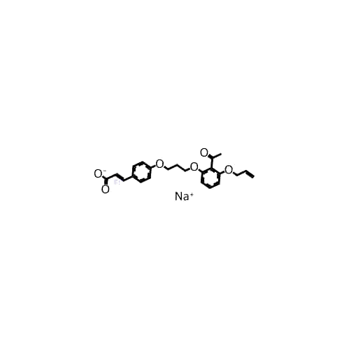 C=CCOc1cccc(OCCCOc2ccc(/C=C/C(=O)[O-])cc2)c1C(C)=O.[Na+]